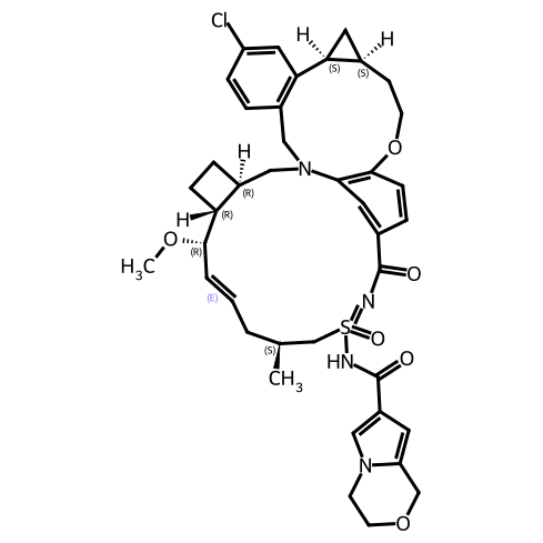 CO[C@H]1/C=C/C[C@H](C)CS(=O)(NC(=O)c2cc3n(c2)CCOC3)=NC(=O)c2ccc3c(c2)N(Cc2ccc(Cl)cc2[C@H]2C[C@H]2CCO3)C[C@@H]2CC[C@H]21